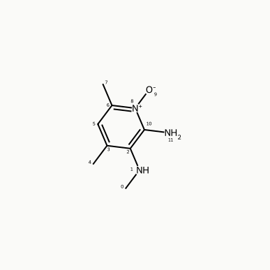 CNc1c(C)cc(C)[n+]([O-])c1N